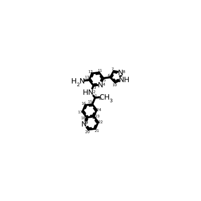 CC(Nc1nc(-c2cn[nH]c2)ccc1N)c1ccc2ncccc2c1